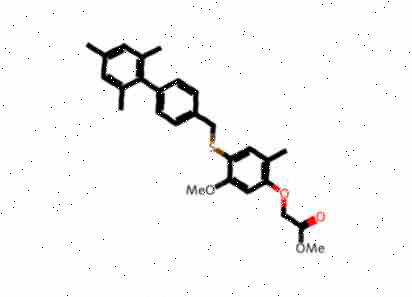 COC(=O)COc1cc(OC)c(SCc2ccc(-c3c(C)cc(C)cc3C)cc2)cc1C